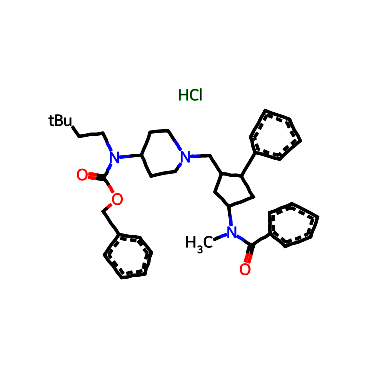 CN(C(=O)c1ccccc1)C1CC(CN2CCC(N(CCC(C)(C)C)C(=O)OCc3ccccc3)CC2)C(c2ccccc2)C1.Cl